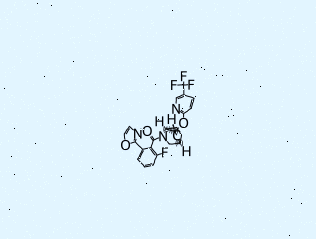 O=C(c1c(F)cccc1-c1ncco1)N1C[C@@H]2CC[C@H]1[C@H](Oc1ccc(C(F)(F)F)cn1)C2